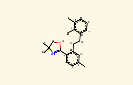 Cc1ccc(C2=NC(C)(C)CO2)c(CCc2cccc(C)c2C)c1